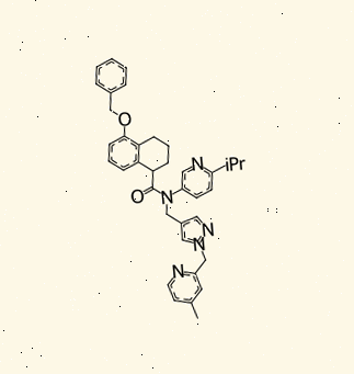 Cc1ccnc(Cn2cc(CN(C(=O)C3CCCc4c(OCc5ccccc5)cccc43)c3ccc(C(C)C)nc3)cn2)c1